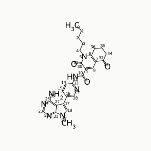 CCCCCn1c2c(cc(C(=O)Nc3ccc(-c4cn(C)c5ncnc(N)c45)cn3)c1=O)C(=O)CCC2